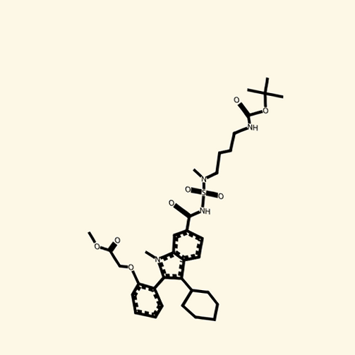 COC(=O)COc1ccccc1-c1c(C2CCCCC2)c2ccc(C(=O)NS(=O)(=O)N(C)CCCCNC(=O)OC(C)(C)C)cc2n1C